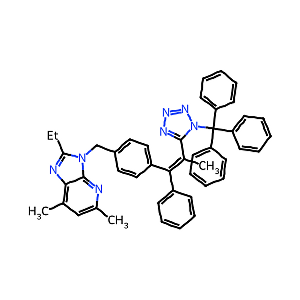 CCc1nc2c(C)cc(C)nc2n1Cc1ccc(/C(=C(/C)c2nnnn2C(c2ccccc2)(c2ccccc2)c2ccccc2)c2ccccc2)cc1